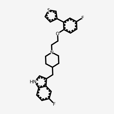 Fc1ccc(OCCN2CCC(Cc3c[nH]c4ccc(F)cc34)CC2)c(-c2ccsc2)c1